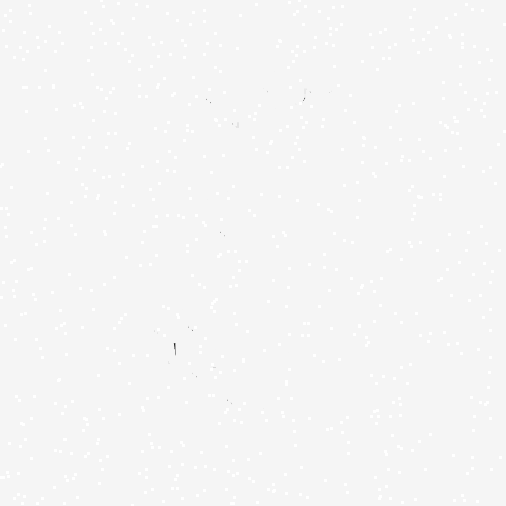 COC(=O)NC(C(=O)N1CCC[C@H]1c1ncc(-c2ccc3c(c2)cc2n3C(c3cc(OC)cc(OC)c3)Oc3cc(-c4cnc(C5CCCN5C(=O)[C@@H](NC(=O)O)C(C)C)[nH]4)ccc3-2)[nH]1)C1CCOCC1